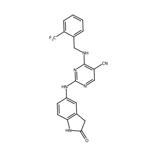 N#Cc1cnc(Nc2ccc3c(c2)CC(=O)N3)nc1NCc1ccccc1C(F)(F)F